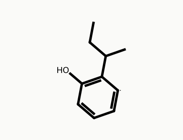 CCC(C)c1[c]cccc1O